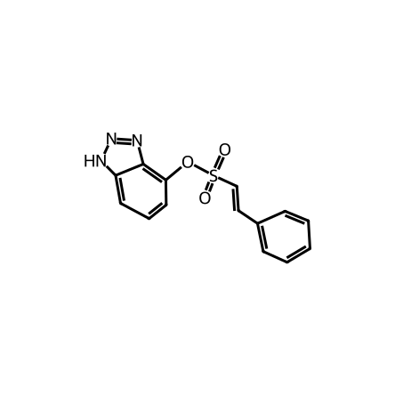 O=S(=O)(C=Cc1ccccc1)Oc1cccc2[nH]nnc12